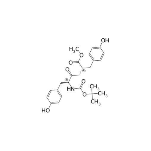 COC(=O)[C@@H](CC(=O)[C@H](Cc1ccc(O)cc1)NC(=O)OC(C)(C)C)Cc1ccc(O)cc1